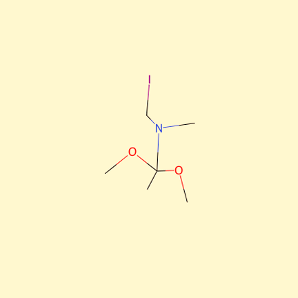 COC(C)(OC)N(C)CI